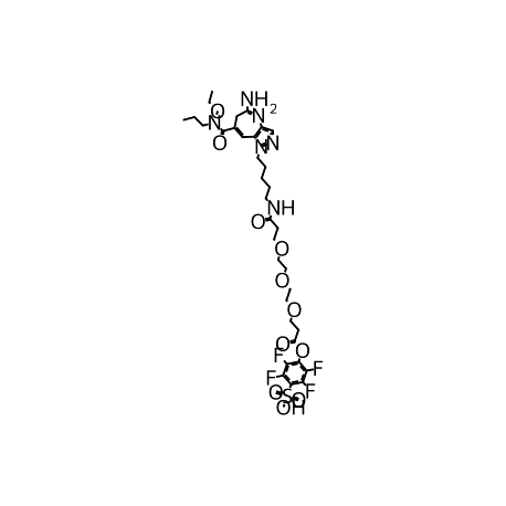 CCCN(OCC)C(=O)C1=Cc2c(cnn2CCCCCNC(=O)CCOCCOCCOCCC(=O)Oc2c(F)c(F)c(S(=O)(=O)O)c(F)c2F)N=C(N)C1